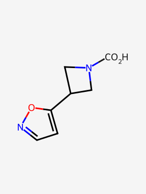 O=C(O)N1CC(c2ccno2)C1